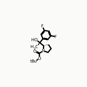 CC(C)(C)OC(=O)N1CCC[C@H]1[C@](C)(O)c1cc(F)cc(F)c1